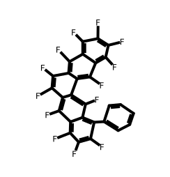 Fc1c(F)c(F)c2c(F)c3c(c(F)c(F)c4c(F)c5c(F)c(F)c(F)c(-c6ccccc6)c5c(F)c43)c(F)c2c1F